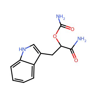 NC(=O)OC(Cc1c[nH]c2ccccc12)C(N)=O